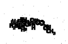 BC(B)(B)C(NC1CCN(C(=O)Nc2cc3cc(-c4cnc(C)o4)ccc3cn2)CC1)C(B)(B)B